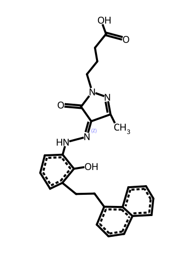 CC1=NN(CCCC(=O)O)C(=O)/C1=N\Nc1cccc(CCc2cccc3ccccc23)c1O